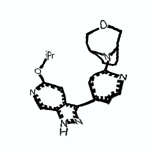 CC(C)Oc1cc2c(-c3ccnc(N4C5CCC4COC5)c3)n[nH]c2cn1